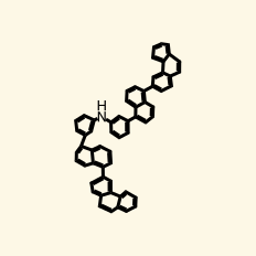 c1cc(Nc2cccc(-c3cccc4c(-c5ccc6ccc7ccccc7c6c5)cccc34)c2)cc(-c2cccc3c(-c4ccc5ccc6ccccc6c5c4)cccc23)c1